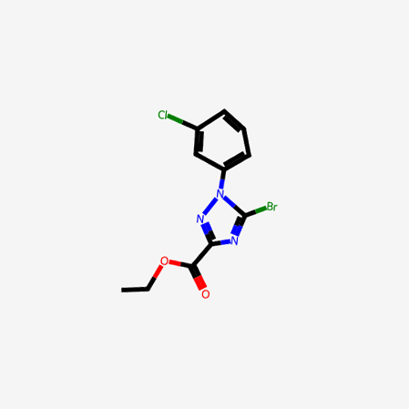 CCOC(=O)c1nc(Br)n(-c2cccc(Cl)c2)n1